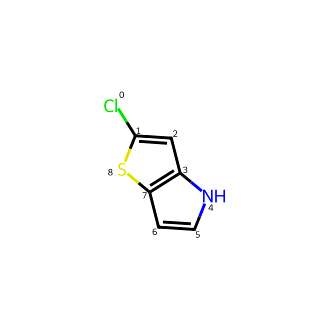 Clc1cc2[nH]ccc2s1